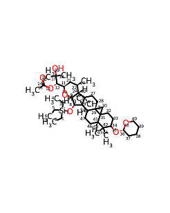 CC[Si](CC)(CC)O[C@H]1[C@H]2O[C@@H]([C@H](OC(C)=O)C(C)(C)O)C[C@@H](C)[C@@H]2[C@@]2(C)CC[C@@]34CC35CCC(O[C@H]3CCCCO3)C(C)(C)[C@@H]5CC[C@H]4[C@]12C